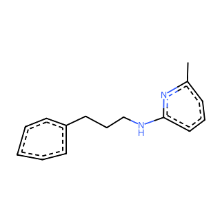 Cc1cccc(NCCCc2ccccc2)n1